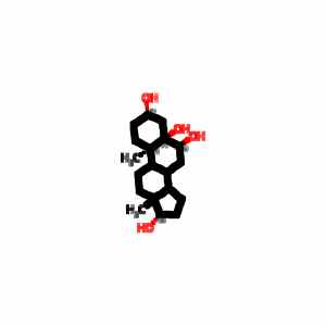 CC12CCC3C(C[C@H](O)[C@@]4(O)C[C@@H](O)CC[C@]34C)C1CC[C@@H]2O